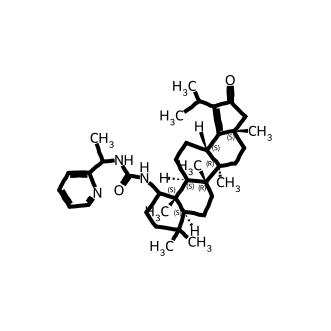 CC(C)C1=C2[C@H]3CC[C@@H]4[C@@]5(C)C(NC(=O)NC(C)c6ccccn6)CCC(C)(C)[C@@H]5CC[C@@]4(C)[C@]3(C)CC[C@@]2(C)CC1=O